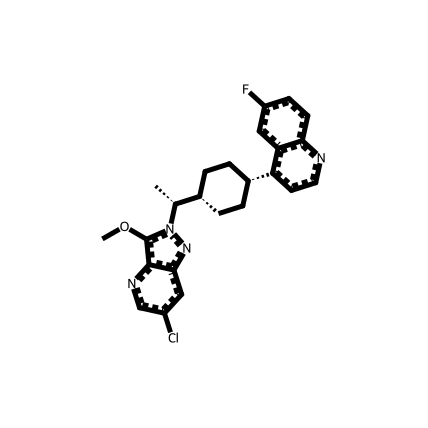 COc1c2ncc(Cl)cc2nn1[C@H](C)[C@H]1CC[C@@H](c2ccnc3ccc(F)cc32)CC1